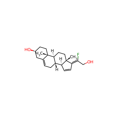 C[C@]12CC[C@H](O)CC1=CC[C@@H]1[C@@H]2CC[C@]2(C)/C(=C(\F)CO)C=C[C@@H]12